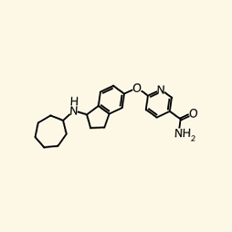 NC(=O)c1ccc(Oc2ccc3c(c2)CCC3NC2CCCCCC2)nc1